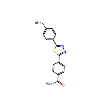 CCCCCCc1ccc(-c2nnc(-c3ccc(C(=O)OC)cc3)s2)cc1